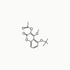 COc1c(OC(C)=O)c(=O)oc2cccc(OC(C)(C)C)c12